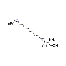 CCC/C=C\CCCCCCCC/C=C/C(O)C(N)CO